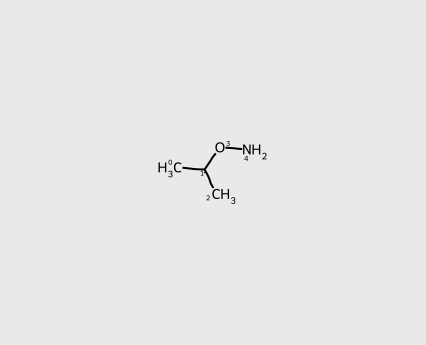 C[C](C)ON